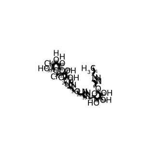 CCCn1cc(CO[C@H]2O[C@H](Cn3cc(COCc4cn(C[C@H]5O[C@@](CCl)(O[C@H]6O[C@H](CO)[C@H](Cl)[C@H](O)[C@H]6O)[C@@H](O)[C@@H]5O)nn4)nn3)[C@@H](O)[C@H](O)[C@@H]2O)nn1